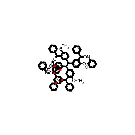 COc1ccc(C(c2ccc(OC)c(C(=C=Nc3ccccc3)c3ccccc3)c2)C(c2ccc(OC)c(C(=C=Nc3ccccc3)c3ccccc3)c2)c2ccc(OC)c(C(=C=Nc3ccccc3)c3ccccc3)c2)cc1C(=C=Nc1ccccc1)c1ccccc1